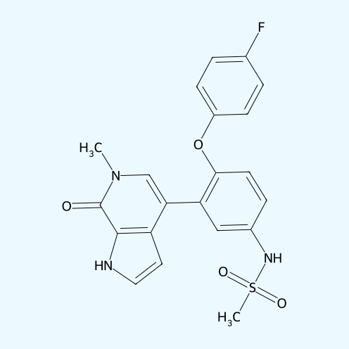 Cn1cc(-c2cc(NS(C)(=O)=O)ccc2Oc2ccc(F)cc2)c2cc[nH]c2c1=O